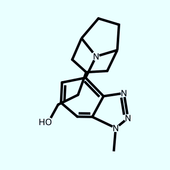 Cn1nnc2c(N3C4CCC3CC(CCO)C4)cccc21